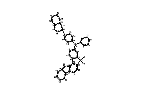 CC1(C)c2cc(N(c3ccccc3)c3ccc(-c4ccc5ccccc5c4)cc3)ccc2-c2c1ccc1c2sc2ccccc21